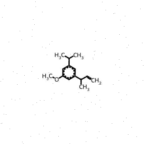 C=C[C](C)c1cc(OC)cc(C(C)C)c1